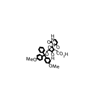 COc1ccc(C(OC[C@H]2O[C@@H](n3c(=O)cc[nH]c3=O)[C@H](CC(=O)O)C2O)(c2ccccc2)c2ccc(OC)cc2)cc1